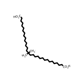 [CH2]C([CH2])(CCCCCCCCCCCCCCC(=O)O)CCCCCCCCCCCCCCC(=O)O